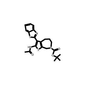 CC(=O)Nc1sc2c(c1-c1nc3ccccc3s1)CCCN(C(=O)OC(C)(C)C)C2